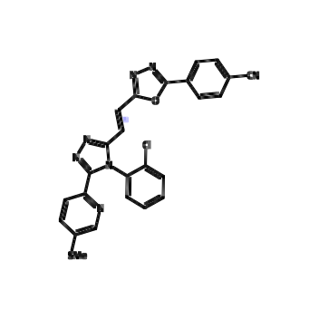 CSc1ccc(-c2nnc(/C=C/c3nnc(-c4ccc(C#N)cc4)o3)n2-c2ccccc2Cl)nc1